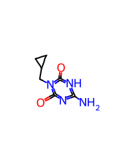 Nc1nc(=O)n(CC2CC2)c(=O)[nH]1